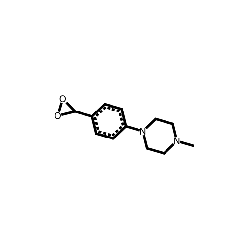 CN1CCN(c2ccc(C3OO3)cc2)CC1